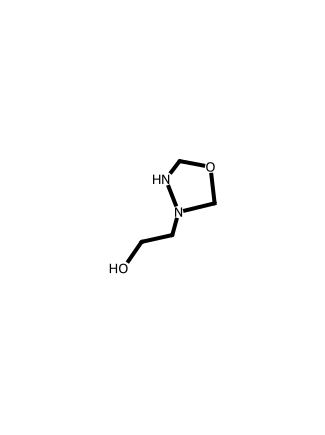 OCCN1COCN1